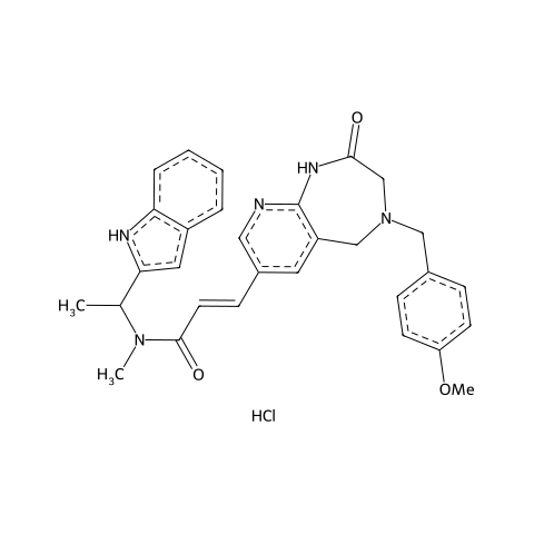 COc1ccc(CN2CC(=O)Nc3ncc(/C=C/C(=O)N(C)C(C)c4cc5ccccc5[nH]4)cc3C2)cc1.Cl